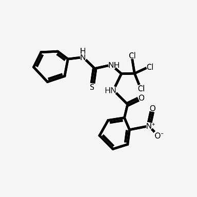 O=C(NC(NC(=S)Nc1ccccc1)C(Cl)(Cl)Cl)c1ccccc1[N+](=O)[O-]